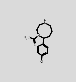 CC(=O)N1CCNCCCC1c1ccc(Cl)cc1